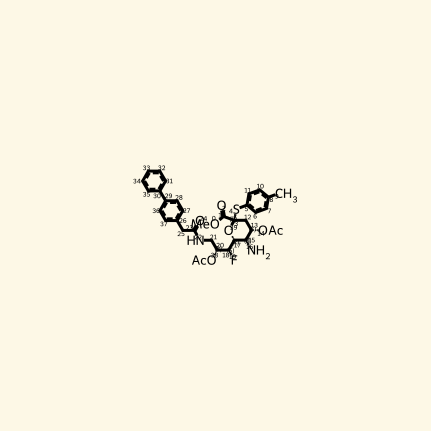 COC(=O)[C@]1(Sc2ccc(C)cc2)C[C@H](OC(C)=O)[C@@H](N)[C@H]([C@@H](F)[C@@H](CNC(=O)Cc2ccc(-c3ccccc3)cc2)OC(C)=O)O1